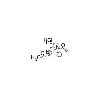 CCC(=O)Cn1ccc(/C=C2\CN(C(C(=O)C3CC3)c3ccccc3F)CCC2S)n1.Cl